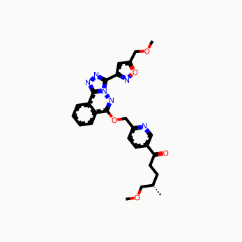 COCc1cc(-c2nnc3c4ccccc4c(OCc4ccc(C(=O)CC[C@H](C)COC)cn4)nn23)no1